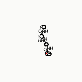 O=C(Nc1ccccn1)c1cnc2[nH]c(-c3ccc(NC(=O)C45CC6CC(CC(C6)C4)C5)cc3)nc2c1